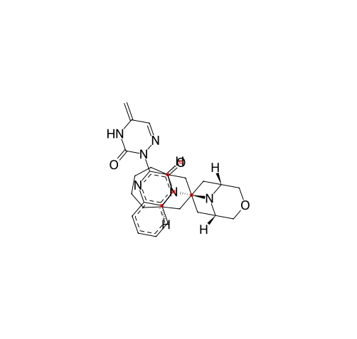 C=C1C=NN(c2nc3ccccc3n([C@H]3C[C@H]4COC[C@@H](C3)N4[C@@H]3C[C@@H]4CCCC[C@@H](C4)C3)c2=O)C(=O)N1